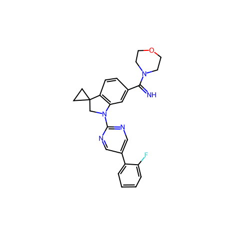 N=C(c1ccc2c(c1)N(c1ncc(-c3ccccc3F)cn1)CC21CC1)N1CCOCC1